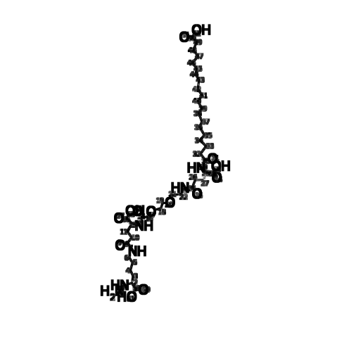 NN[C@@H](CCCCNC(=O)CC[C@H](NC(=O)COCCOCCNC(=O)CC[C@H](NC(=O)CCCCCCCCCCCCCCCCCCC(=O)O)C(=O)O)C(=O)O)C(=O)O